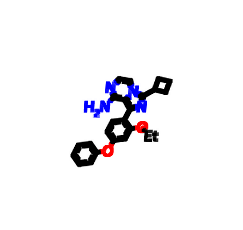 CCOc1cc(Oc2ccccc2)ccc1-c1nc(C2CCC2)n2ccnc(N)c12